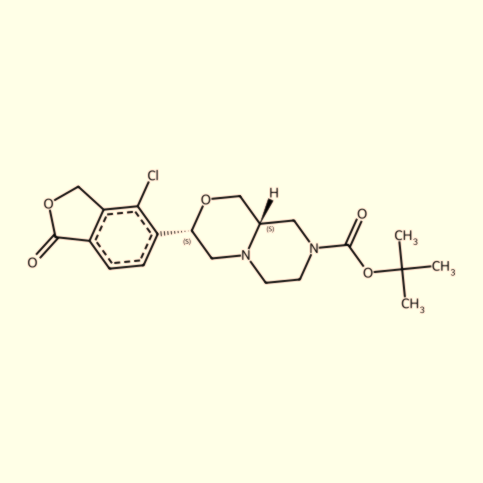 CC(C)(C)OC(=O)N1CCN2C[C@H](c3ccc4c(c3Cl)COC4=O)OC[C@@H]2C1